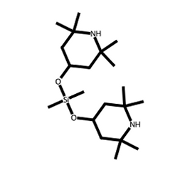 CC1(C)CC(O[Si](C)(C)OC2CC(C)(C)NC(C)(C)C2)CC(C)(C)N1